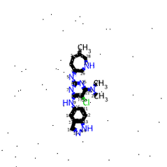 CC1CC/C(=N/c2nc(Nc3ccc4[nH]ncc4c3)c(Cl)c(N(C)C)n2)CNC1